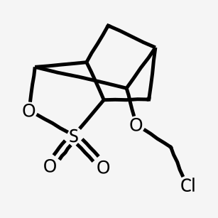 O=S1(=O)OC2C3CC(CC31)C2OCCl